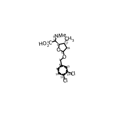 CNC(C(=O)O)[C@@H]1OC(OCc2ccc(Cl)c(Cl)c2)C[C@H]1C